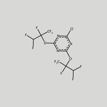 FC(F)C(F)(Oc1nc(Cl)nc(OC(F)(C(F)F)C(F)(F)F)n1)C(F)(F)F